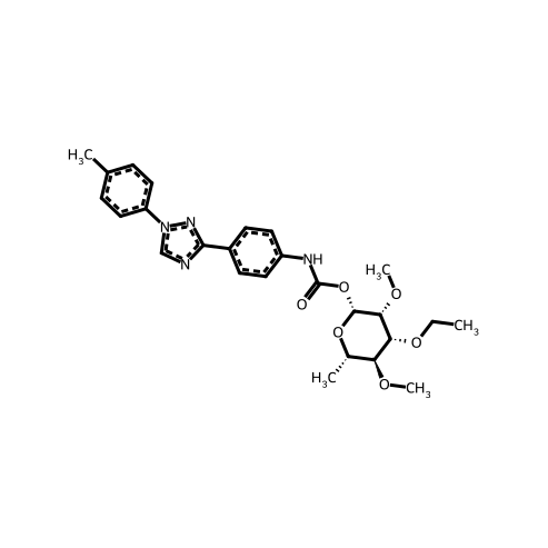 CCO[C@@H]1[C@@H](OC)[C@H](C)O[C@H](OC(=O)Nc2ccc(-c3ncn(-c4ccc(C)cc4)n3)cc2)[C@@H]1OC